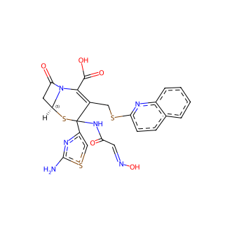 Nc1nc(C2(NC(=O)C=NO)S[C@H]3CC(=O)N3C(C(=O)O)=C2CSc2ccc3ccccc3n2)cs1